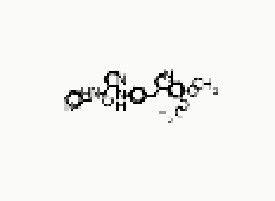 COc1cc2nccc(Cc3ccc(Nc4ncccc4C(=O)NCc4cccnc4)cc3)c2cc1OC